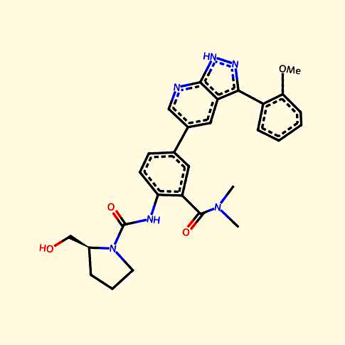 COc1ccccc1-c1n[nH]c2ncc(-c3ccc(NC(=O)N4CCC[C@H]4CO)c(C(=O)N(C)C)c3)cc12